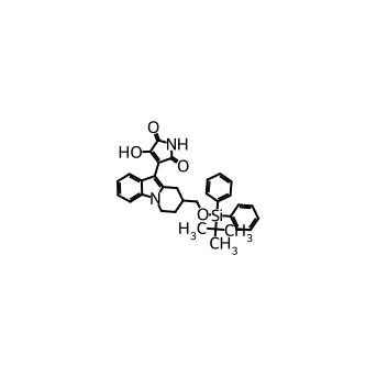 CC(C)(C)[Si](OCC1CCn2c(c(C3=C(O)C(=O)NC3=O)c3ccccc32)C1)(c1ccccc1)c1ccccc1